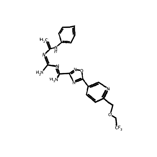 C=C(/N=C(N)\N=C(/N)c1noc(-c2ccc(COCC(F)(F)F)nc2)n1)Nc1ccccc1